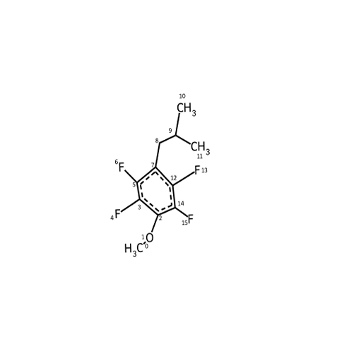 COc1c(F)c(F)c(CC(C)C)c(F)c1F